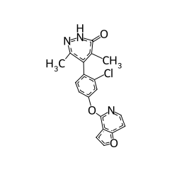 Cc1n[nH]c(=O)c(C)c1-c1ccc(Oc2nccc3occc23)cc1Cl